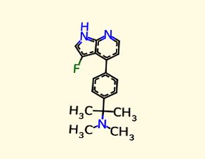 CN(C)C(C)(C)c1ccc(-c2ccnc3[nH]cc(F)c23)cc1